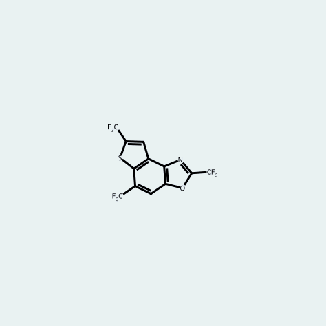 FC(F)(F)c1nc2c(cc(C(F)(F)F)c3sc(C(F)(F)F)cc32)o1